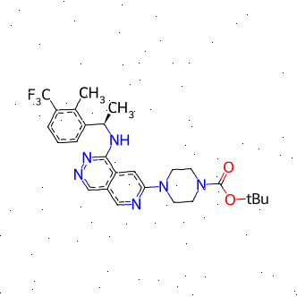 Cc1c([C@@H](C)Nc2nncc3cnc(N4CCN(C(=O)OC(C)(C)C)CC4)cc23)cccc1C(F)(F)F